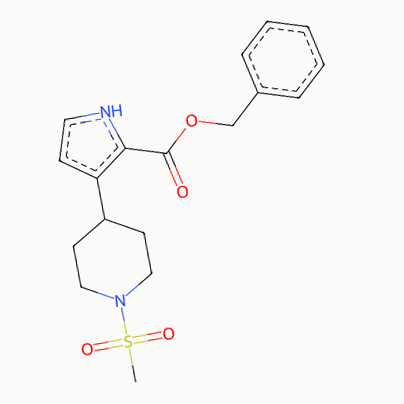 CS(=O)(=O)N1CCC(c2cc[nH]c2C(=O)OCc2ccccc2)CC1